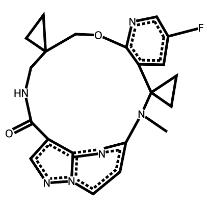 CN1c2ccn3ncc(c3n2)C(=O)NCC2(CC2)COc2ncc(F)cc2C12CC2